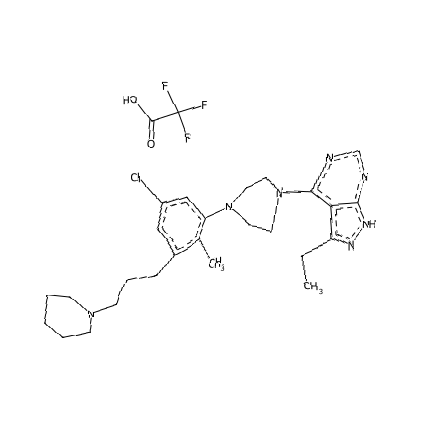 CCc1n[nH]c2ncnc(N3CCN(c4cc(Cl)cc(CCCN5CCCCC5)c4C)CC3)c12.O=C(O)C(F)(F)F